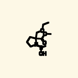 CCOCC1(C(=O)OC)CCCN1B(C)O